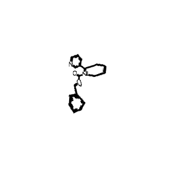 O=C(OCc1ccccc1)N1CC=CCC1c1cccnc1